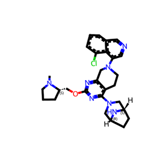 CN1CCC[C@H]1COc1nc2c(c(N3C[C@H]4CC[C@@H](C3)N4)n1)CCN(c1cncc3cccc(Cl)c13)C2